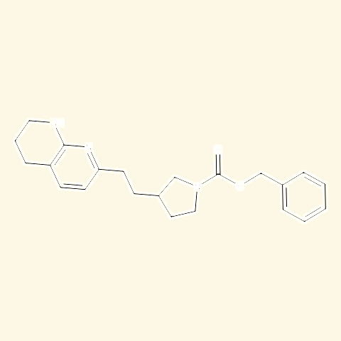 O=C(OCc1ccccc1)N1CCC(CCc2ccc3c(n2)NCCC3)C1